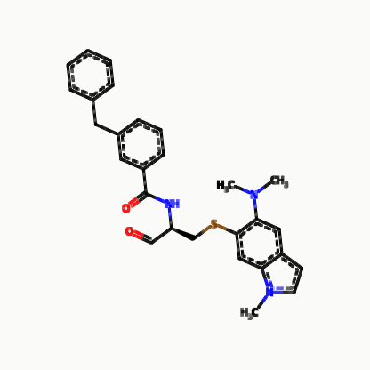 CN(C)c1cc2ccn(C)c2cc1SC[C@@H](C=O)NC(=O)c1cccc(Cc2ccccc2)c1